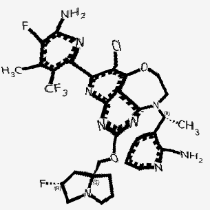 Cc1c(F)c(N)nc(-c2nc3nc(OC[C@@]45CCCN4C[C@H](F)C5)nc4c3c(c2Cl)OCCN4[C@H](C)c2cccnc2N)c1C(F)(F)F